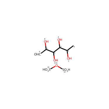 CC(O)C(O)C(O)C(O)C=O.O=S(=O)(O)OS(=O)(=O)O